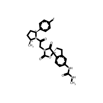 CNC(=O)Nc1ccc2c(c1)CC[C@@]21OC(=O)N(CC(=O)N2[C@@H](C)CC[C@H]2c2ccc(F)cc2)C1=O